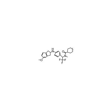 COc1ccc2c(c1)CC(Nc1ccc(C(N(C)C(=O)C3CCSCC3)C(F)(F)F)cc1)C2